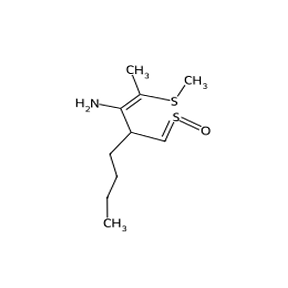 CCCCC(C=S=O)C(N)=C(C)SC